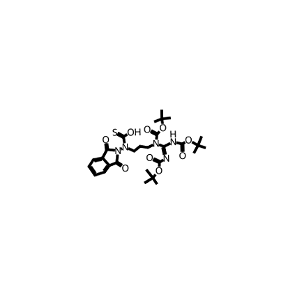 CC(C)(C)OC(=O)N=C(NC(=O)OC(C)(C)C)N(CCCN(C(O)=S)N1C(=O)c2ccccc2C1=O)C(=O)OC(C)(C)C